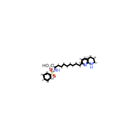 O=C(O)[C@H](CCCCCCCCc1ccc2c(n1)NCCC2)NS(=O)(=O)c1ccccc1